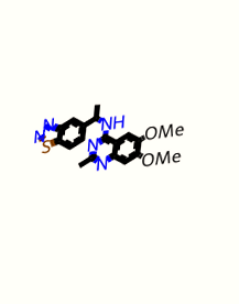 COc1cc2nc(C)nc(NC(C)c3ccc4snnc4c3)c2cc1OC